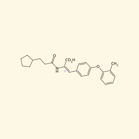 Cc1ccccc1Oc1ccc(/C=C(/NC(=O)CCC2CCCC2)C(=O)O)cc1